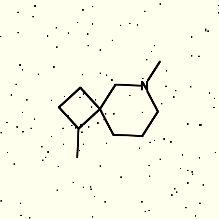 CC1CCC12CCCN(C)C2